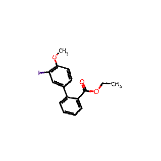 CCOC(=O)c1ccccc1-c1ccc(OC)c(I)c1